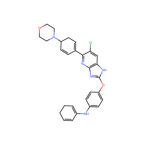 Clc1cc2[nH]c(Oc3ccc(NC4=CCCC=C4)cc3)nc2nc1C1=CCC(N2CCOCC2)C=C1